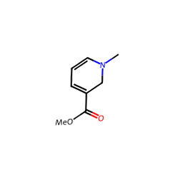 COC(=O)C1=CC=CN(C)C1